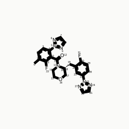 Cc1ccc(-n2nccn2)c(C(=O)N2CCOC[C@H]2Cc2cc(-n3nccn3)ccc2F)c1F